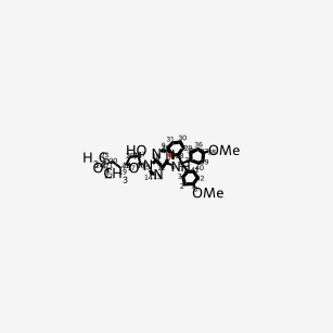 COc1ccc(C(Nc2ncnc3c2ncn3[C@@H]2O[C@H](CCP(C)(C)=O)C[C@H]2O)(c2ccccc2)c2ccc(OC)cc2)cc1